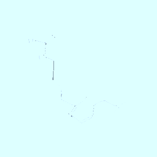 CN(C)Cc1ccnc(CSCCNC(=N)N)c1